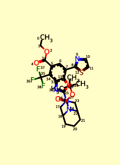 CCOC(=O)c1cc(-c2nccs2)c2oc(N3CC4CCCC(C3)N4C(=O)OC(C)(C)C)nc2c1C(F)(F)F